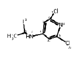 CC(I)Nc1cc(Cl)nc(Cl)c1